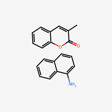 Cc1cc2ccccc2oc1=O.Nc1cccc2ccccc12